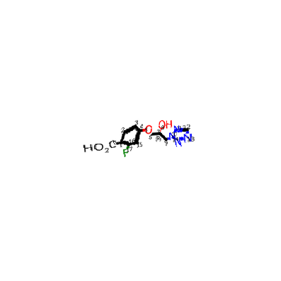 O=C(O)c1ccc(OC[C@H](O)Cn2ncnn2)cc1F